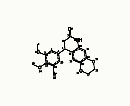 COc1cc(C2CC(=O)Nc3cc4c(cc32)OCCO4)cc(Br)c1OC